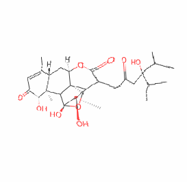 CC1=CC(=O)[C@@H](O)[C@]2(C)C3[C@]45CO[C@@]3(O)[C@H](O)[C@H](C)C4C(CC(=O)CC(O)(C(C)C)C(C)C)C(=O)O[C@@H]5C[C@@H]12